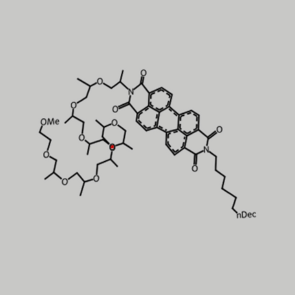 CCCCCCCCCCCCCCCCN1C(=O)c2ccc3c4ccc5c6c(ccc(c7ccc(c2c37)C1=O)c64)C(=O)N(C(C)COC(C)COC(C)COC(C)COC(C)COC(C)COC(C)COC(C)COC(C)COCCOC)C5=O